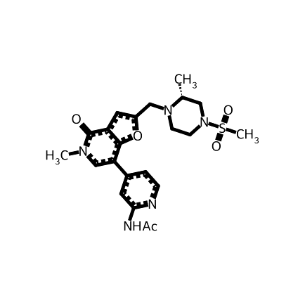 CC(=O)Nc1cc(-c2cn(C)c(=O)c3cc(CN4CCN(S(C)(=O)=O)C[C@H]4C)oc23)ccn1